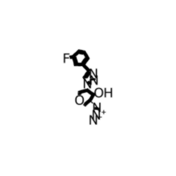 [N-]=[N+]=N[C@@H]1COC[C@H](n2cc(-c3cccc(F)c3)nn2)[C@H]1O